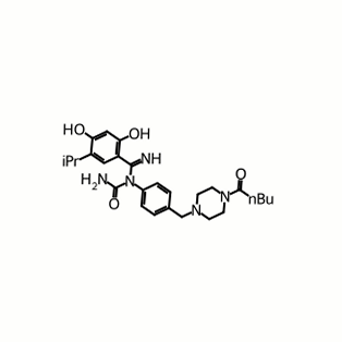 CCCCC(=O)N1CCN(Cc2ccc(N(C(=N)c3cc(C(C)C)c(O)cc3O)C(N)=O)cc2)CC1